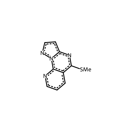 CSc1nc2ccnn2c2ncccc12